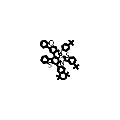 CC(C)(C)c1ccc(N2B3c4sc5ccc(C(C)(C)C)cc5c4-n4c5cc6c(cc5c5c7sc8ccccc8c7c(c3c54)-c3cc4c(cc32)oc2ccccc24)C(C)(C)CCC6(C)C)cc1